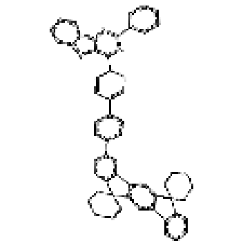 C1=CC(c2nc(-c3ccccc3)nc3c2sc2ccccc23)CC=C1c1ccc(-c2ccc3c(c2)-c2cc4c(cc2C32CCCCC2)-c2ccccc2C42CCCCC2)cc1